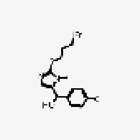 CC(C)CCCSc1ncc(C(O)c2ccc(Cl)cc2)n1C